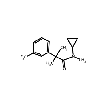 CN(C(=O)C(C)(C)c1cccc(C(F)(F)F)c1)C1CC1